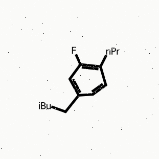 CCCc1ccc(CC(C)CC)cc1F